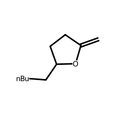 C=C1CCC(CCCCC)O1